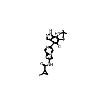 CC(C)(C)Nc1c(F)c(Cl)c(-c2cn3cc(NC(=O)C4CC4F)nc3cn2)c2cn[nH]c12